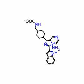 N[N+]12C=CN=CC1=C(C1CCC(CNC(=O)[O-])CC1)N=C2c1cc2ccccc2[nH]1